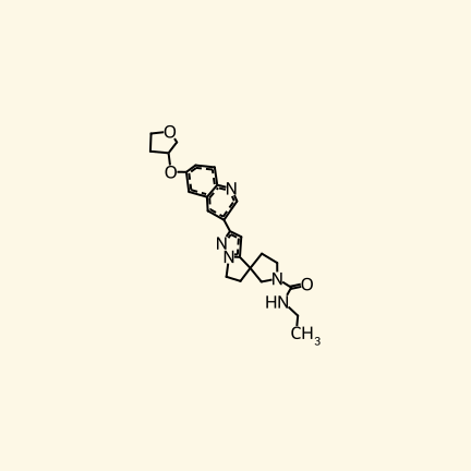 CCNC(=O)N1CCC2(CCn3nc(-c4cnc5ccc(OC6CCOC6)cc5c4)cc32)C1